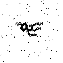 COC[C@@H](c1ccc(C(F)(F)F)cc1)[C@@H](CO)NC(=O)O